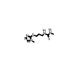 CNC(=S)NCCCSc1nnnn1C